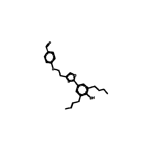 CCCCc1cc(-c2nc(CCOc3ccc(C=O)cc3)co2)cc(CCCC)c1O